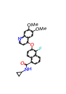 COc1cc2nccc(Oc3ccc4c(C(=O)NC5CC5)cccc4c3F)c2cc1OC